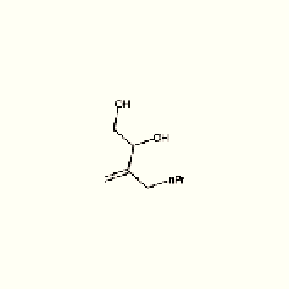 C=C(CCCC)C(O)CO